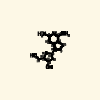 Nc1nc(N)c2ncn([C@@H]3C[C@H](O)[C@@H](CO)S3)c2n1